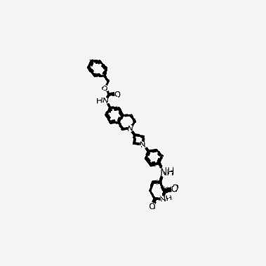 O=C1CCC(Nc2ccc(N3CC(N4CCc5cc(NC(=O)OCc6ccccc6)ccc5C4)C3)cc2)C(=O)N1